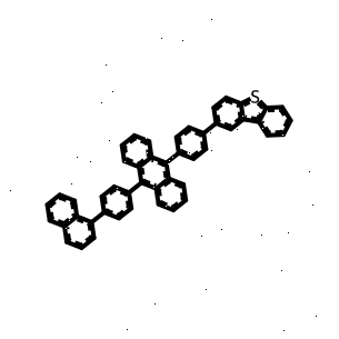 c1ccc2c(-c3ccc(-c4c5ccccc5c(-c5ccc(-c6ccc7sc8ccccc8c7c6)cc5)c5ccccc45)cc3)cccc2c1